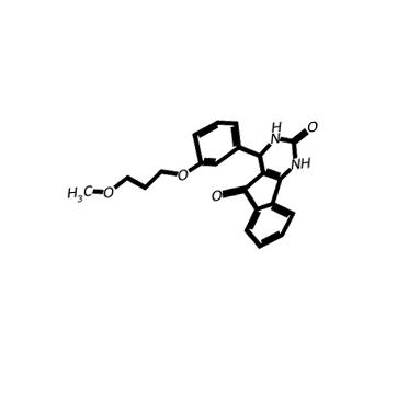 COCCCOc1cccc(C2NC(=O)NC3=C2C(=O)c2ccccc23)c1